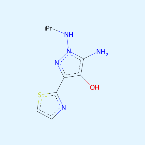 CC(C)Nn1nc(-c2nccs2)c(O)c1N